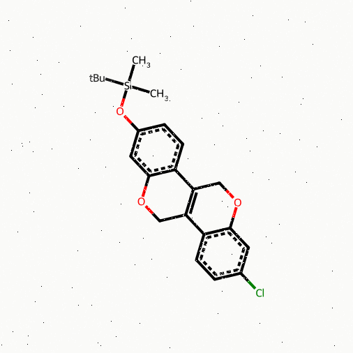 CC(C)(C)[Si](C)(C)Oc1ccc2c(c1)OCC1=C2COc2cc(Cl)ccc21